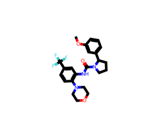 COc1cccc(C2CCCN2C(=O)Nc2cc(C(F)(F)F)ccc2N2CCOCC2)c1